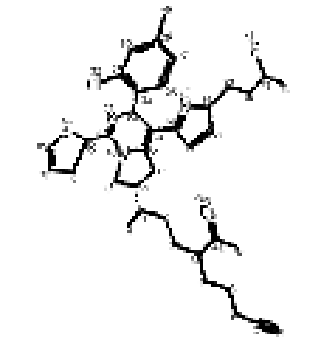 C#CCCCC(CCC(C)[C@H]1CC2=C(C3=NC(CCC(C)F)C=C3)[C@H](c3ccc(C)cc3Cl)N=C(C3CC=CS3)N2C1)C(C)=O